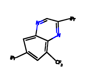 CC(C)c1cc(C(F)(F)F)c2nc(C(C)C)cnc2c1